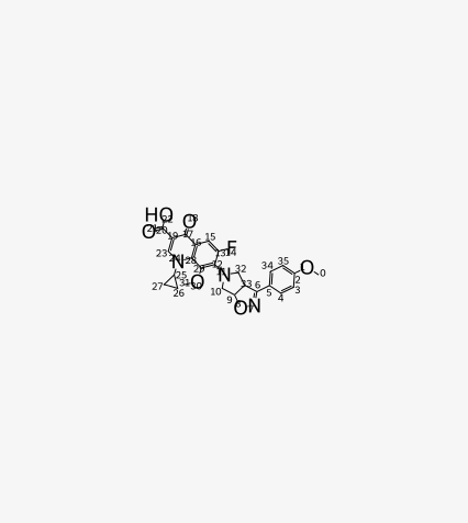 COc1ccc(C2=NOC3CN(c4c(F)cc5c(=O)c(C(=O)O)cn(C6CC6)c5c4OC)CC23)cc1